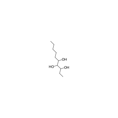 CCCCCC(O)C(O)C(O)CC